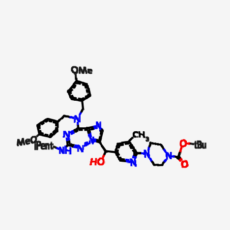 CCCC(C)Nc1nc(N(Cc2ccc(OC)cc2)Cc2ccc(OC)cc2)c2ncc(C(O)c3cnc(N4CCN(C(=O)OC(C)(C)C)CC4)c(C)c3)n2n1